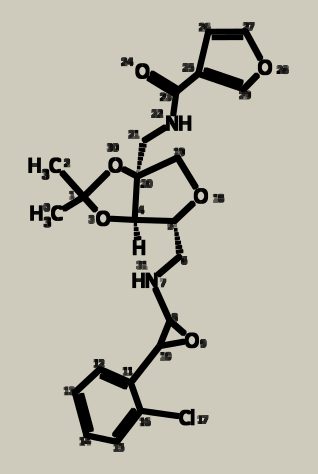 CC1(C)O[C@@H]2[C@@H](CNC3OC3c3ccccc3Cl)OC[C@]2(CNC(=O)c2ccoc2)O1